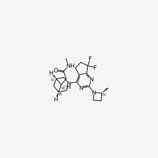 CNC(=O)C[C@@H]1[C@@H]2C[C@H]1CN(c1nc(N3CC[C@@H]3C)nc3c1CCC3(F)F)C2